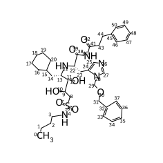 CCCCNS(=O)(=O)C[C@@H](O)[C@H](O)[C@H](CC1CCCCC1)N[C@@H](Cc1cncn1COCc1ccccc1)C(=O)NC(=O)CCc1ccccc1